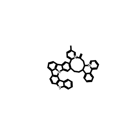 C=C1CC2C(CCc3cc4c(cc3-c3ccc(C)c[n+]31)c1cccc3c5ccc6sc7ccccc7c6c5n4c13)c1ccccc1-c1cccc[n+]12